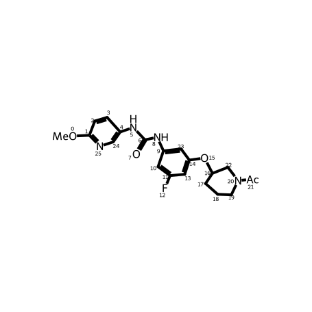 COc1ccc(NC(=O)Nc2cc(F)cc(OC3CCCN(C(C)=O)C3)c2)cn1